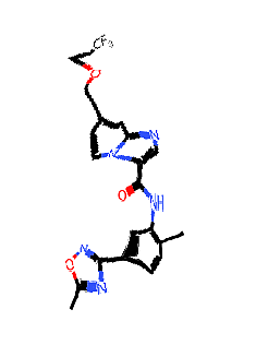 Cc1nc(-c2ccc(C)c(NC(=O)c3cnc4cc(COCC(F)(F)F)ccn34)c2)no1